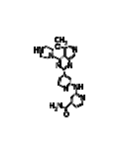 COc1cncc2nc(-c3ccnc(Nc4cc(C(N)=O)ccn4)c3)nc(N3CCNCC3)c12